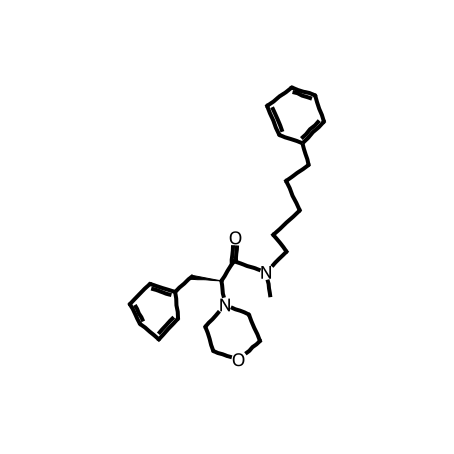 CN(CCCCCc1ccccc1)C(=O)[C@H](Cc1ccccc1)N1CCOCC1